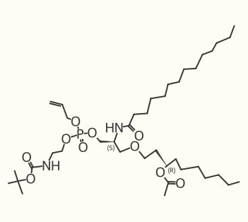 C=CCOP(=O)(OCCNC(=O)OC(C)(C)C)OC[C@H](COCC[C@@H](CCCCCCC)OC(C)=O)NC(=O)CCCCCCCCCCCCC